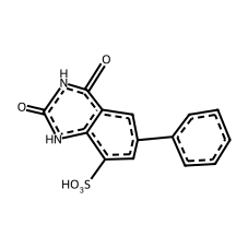 O=c1[nH]c(=O)c2cc(-c3ccccc3)cc(S(=O)(=O)O)c2[nH]1